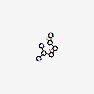 c1cncc(-c2cc(-c3cccnc3)cc(-c3cccc4c3oc3c(-c5ccc6oc7cnccc7c6c5)cccc34)c2)c1